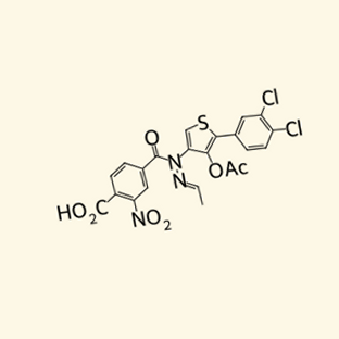 CC=NN(C(=O)c1ccc(C(=O)O)c([N+](=O)[O-])c1)c1csc(-c2ccc(Cl)c(Cl)c2)c1OC(C)=O